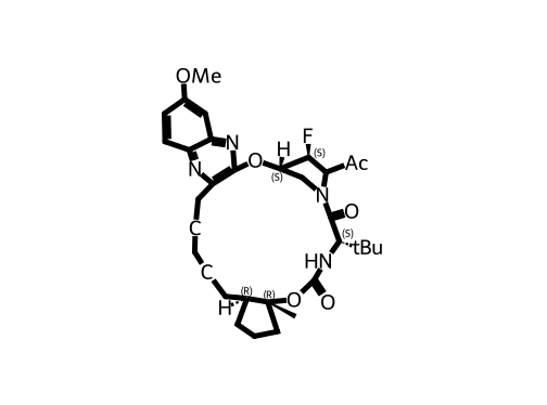 COc1ccc2nc3c(nc2c1)O[C@H]1CN(C(=O)[C@H](C(C)(C)C)NC(=O)O[C@]2(C)CCC[C@H]2CCCCC3)C(C(C)=O)[C@@H]1F